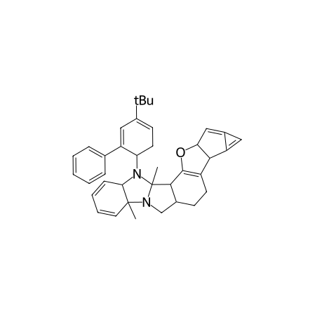 CC(C)(C)C1=CCC(N2C3C=CC=CC3(C)N3CC4CCC5=C(OC6C=C7C=C7C56)C4C23C)C(c2ccccc2)=C1